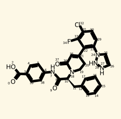 O=C(O)c1ccc(NC(=O)[C@H](Cc2ccccc2)N2CCC(c3c(N4C=CNN4)ccc(Cl)c3F)=CC2=O)cc1